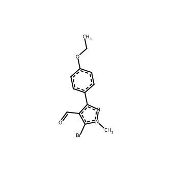 CCOc1ccc(-c2nn(C)c(Br)c2C=O)cc1